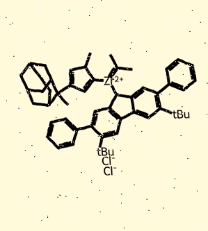 C[C](C)=[Zr+2]([C]1=CC(C2(C)C3CC4CC(C3)CC2C4)=CC1C)[CH]1c2cc(-c3ccccc3)c(C(C)(C)C)cc2-c2cc(C(C)(C)C)c(-c3ccccc3)cc21.[Cl-].[Cl-]